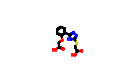 O=C(O)COc1ccccc1-c1nnc(SCC(=O)O)[nH]1